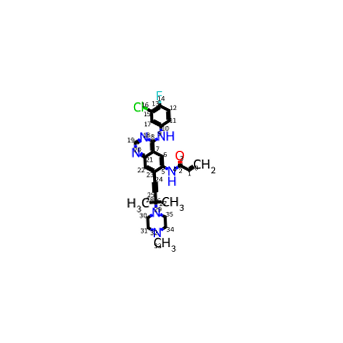 C=CC(=O)Nc1cc2c(Nc3ccc(F)c(Cl)c3)ncnc2cc1C#CC(C)(C)N1CCN(C)CC1